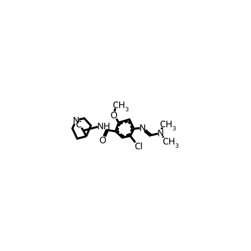 COc1cc(N=CN(C)C)c(Cl)cc1C(=O)NC1CN2CCC1CC2